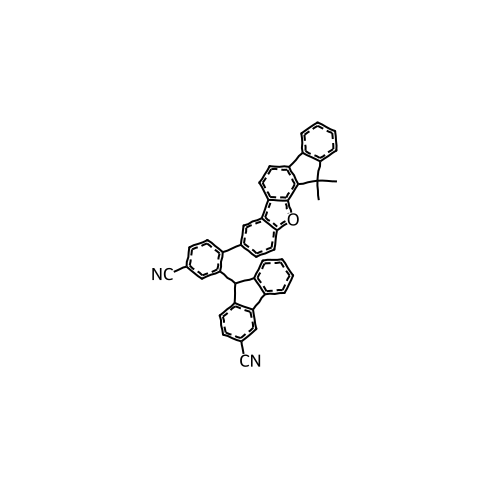 CC1(C)c2ccccc2-c2ccc3c(oc4ccc(-c5ccc(C#N)cc5C5c6ccccc6-c6cc(C#N)ccc65)cc43)c21